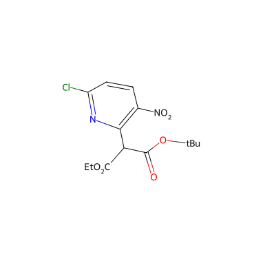 CCOC(=O)C(C(=O)OC(C)(C)C)c1nc(Cl)ccc1[N+](=O)[O-]